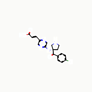 O=C(O)/C=C/c1cnc(N[C@]2(C(=O)c3ccc(Cl)cc3)CCNC2)cn1